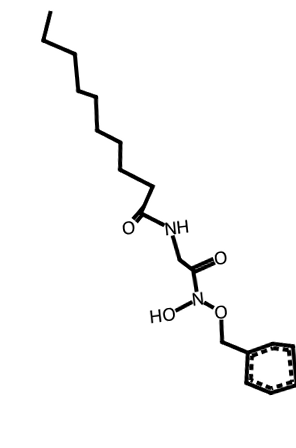 CCCCCCCCCC(=O)NCC(=O)N(O)OCc1ccccc1